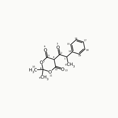 CC(C(=O)C1C(=O)OC(C)(C)OC1=O)c1ccccc1